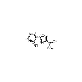 COC(=O)c1coc(-c2cncnc2Cl)n1